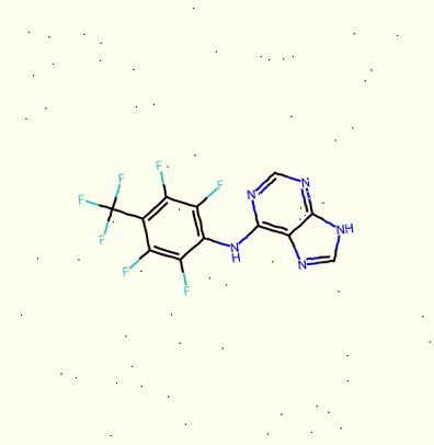 Fc1c(F)c(C(F)(F)F)c(F)c(F)c1Nc1ncnc2[nH]cnc12